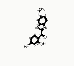 COc1ccc2nc(C(=O)c3ccc(O)cc3O)sc2c1